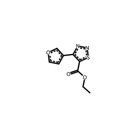 CCOC(=O)c1snnc1-c1ccoc1